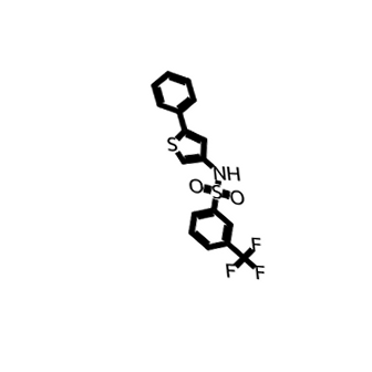 O=S(=O)(Nc1csc(-c2ccccc2)c1)c1cccc(C(F)(F)F)c1